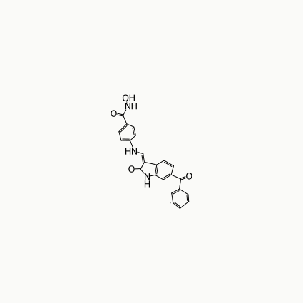 O=C1Nc2cc(C(=O)c3c[c]ccc3)ccc2C1=CNc1ccc(C(=O)NO)cc1